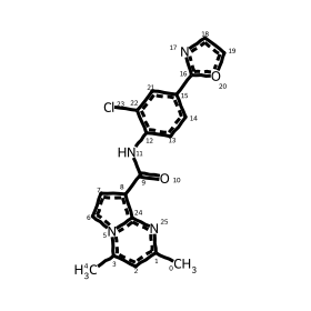 Cc1cc(C)n2ccc(C(=O)Nc3ccc(-c4ncco4)cc3Cl)c2n1